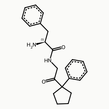 N[C@@H](Cc1ccccc1)C(=O)NCC(=O)C1(c2ccccc2)CCCC1